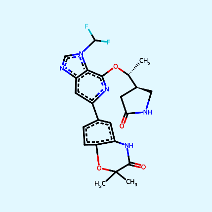 C[C@@H](Oc1nc(-c2ccc3c(c2)NC(=O)C(C)(C)O3)cc2ncn(C(F)F)c12)[C@H]1CNC(=O)C1